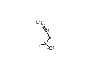 [CH2]CC#CCC(C)CC